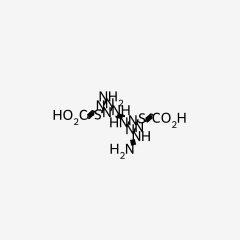 NCCNc1nc(NCCNc2nc(N)nc(SCCC(=O)O)n2)nc(SCCC(=O)O)n1